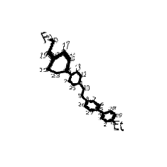 CCc1ccc(-c2ccc(CCC3CCC(C4CCC(CCF)CC4)CC3)cc2)cc1